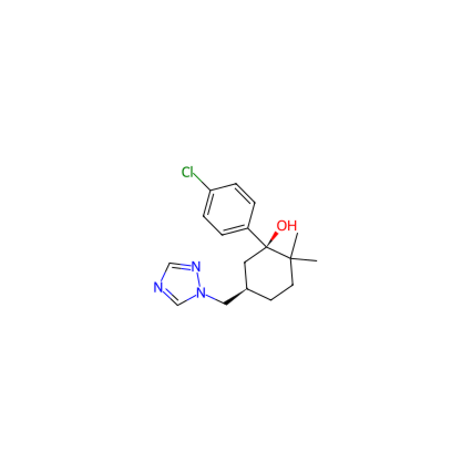 CC1(C)CC[C@@H](Cn2cncn2)C[C@]1(O)c1ccc(Cl)cc1